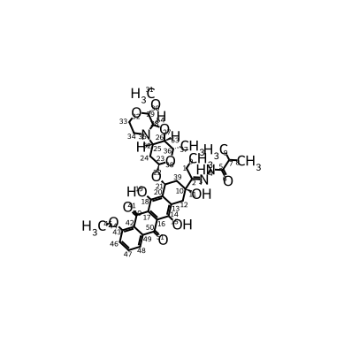 CC/C(=N\NC(=O)C(C)C)[C@]1(O)Cc2c(O)c3c(c(O)c2[C@@H](O[C@H]2C[C@H]4[C@H](O[C@@H]5[C@@H](OC)OCCN54)[C@H](C)O2)C1)C(=O)c1c(OC)cccc1C3=O